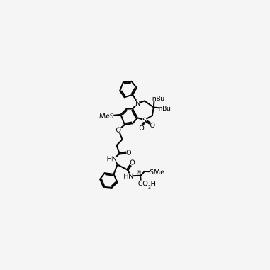 CCCCC1(CCCC)CN(c2ccccc2)c2cc(SC)c(OCCC(=O)NC(C(=O)N[C@@H](CSC)C(=O)O)c3ccccc3)cc2S(=O)(=O)C1